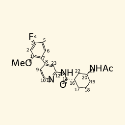 COc1cc(F)ccc1-c1ccnc(NC(=O)[C@H]2CCC[C@H](NC(C)=O)C2)c1